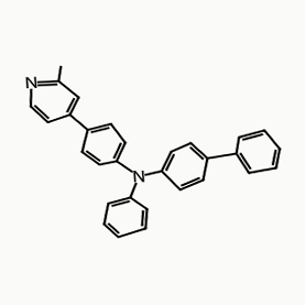 Cc1cc(-c2ccc(N(c3ccccc3)c3ccc(-c4ccccc4)cc3)cc2)ccn1